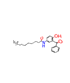 CCCCCCCCC(=O)Nc1ccc(O)c(C(=O)c2ccccc2)c1